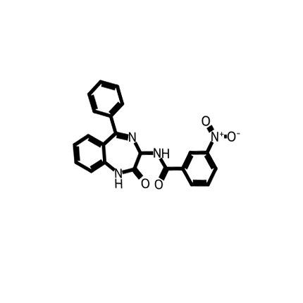 O=C(NC1N=C(c2ccccc2)c2ccccc2NC1=O)c1cccc([N+](=O)[O-])c1